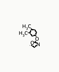 Cc1ccc(Oc2nc[c]o2)cc1C